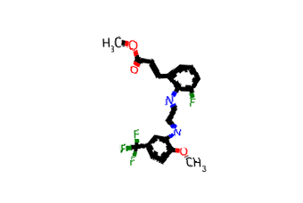 COC(=O)/C=C/c1cccc(F)c1N=CC=Nc1cc(C(F)(F)F)ccc1OC